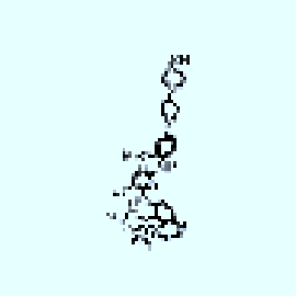 CCc1cnc(Nc2ccc(N3CCC(N4CCN(C)CC4)CC3)cc2OC)nc1Nc1ccc2nccnc2c1N(C)S(C)(=O)=O